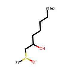 CCCCCCCCCCC(O)C[S+]([O-])CC